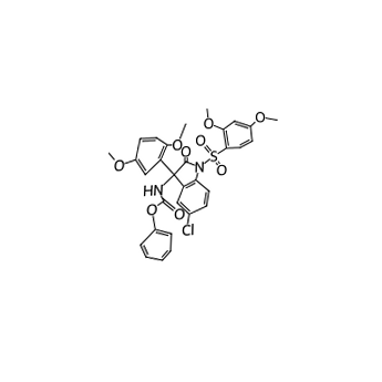 COc1ccc(S(=O)(=O)N2C(=O)C(NC(=O)Oc3ccccc3)(c3cc(OC)ccc3OC)c3cc(Cl)ccc32)c(OC)c1